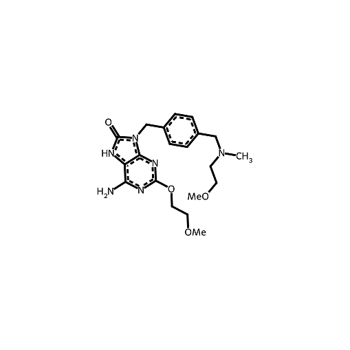 COCCOc1nc(N)c2[nH]c(=O)n(Cc3ccc(CN(C)CCOC)cc3)c2n1